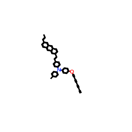 C#CC#CC#CC#COc1ccc(N(c2ccc(C)cc2)c2ccc(C=Cc3ccc4cc5cc(C=CC)ccc5cc4c3)cc2)cc1